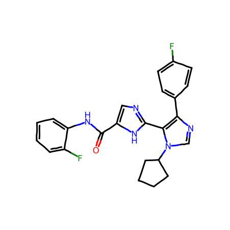 O=C(Nc1ccccc1F)c1cnc(-c2c(-c3ccc(F)cc3)ncn2C2CCCC2)[nH]1